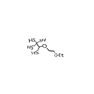 CCOCCOC(S)C(S)(S)S